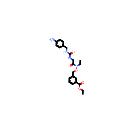 CCOC(=O)c1cccc(CON(CC)C(=O)CNC(=O)NCc2ccc(N)cc2)c1